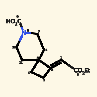 CCOC(=O)/C=C1\CCC12CCN(C(=O)O)CC2